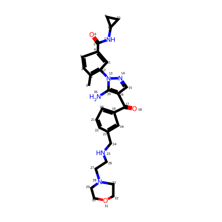 Cc1ccc(C(=O)NC2CC2)cc1-n1ncc(C(=O)c2cccc(CNCCN3CCOCC3)c2)c1N